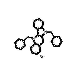 [Br-].c1ccc(Cn2c3ccccc3c3c2cc2ccccc2[n+]3Cc2ccccc2)cc1